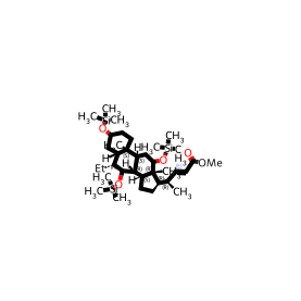 CC[C@H]1C(O[Si](C)(C)C)[C@@H]2[C@H](CC(O[Si](C)(C)C)[C@]3(C)[C@@H]([C@H](C)/C=C/C(=O)OC)CC[C@@H]23)[C@@]2(C)CCC(O[Si](C)(C)C)C[C@@H]12